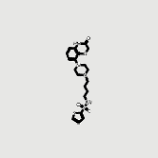 O=C1COc2c(cccc2N2CCN(CCCCNS(=O)(=O)c3cccs3)CC2)N1